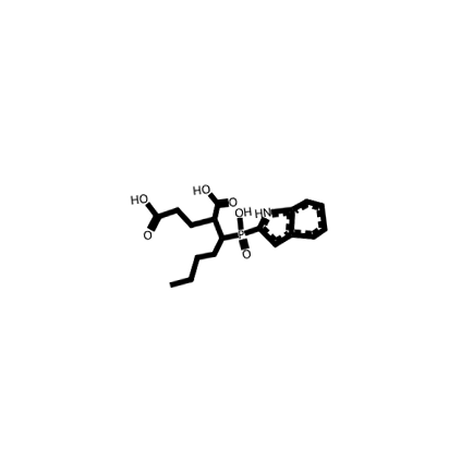 CCCCC(C(CCC(=O)O)C(=O)O)P(=O)(O)c1cc2ccccc2[nH]1